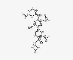 C=Cc1ccnc(Nc2cc(C#N)c(N3CCN(C(=O)CC4CCC4)[C@H](C4CC4)C3)nc2C2CC2)c1